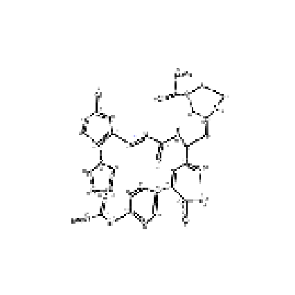 CNC(=O)N1CCC[C@@H](CC(NC(=O)/C=C/c2cc(Cl)ccc2-n2cnnn2)c2cc(-c3ccc(NC(=O)OC)cc3)c(=O)[nH]n2)C1